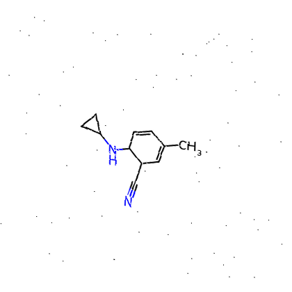 CC1=CC(C#N)C(NC2CC2)C=C1